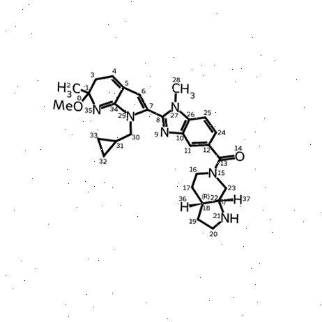 COC1(C)CC=c2cc(-c3nc4cc(C(=O)N5CC[C@H]6CCN[C@H]6C5)ccc4n3C)n(CC3CC3)c2=N1